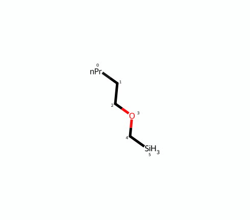 CCCCCOC[SiH3]